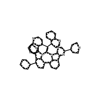 c1ccc(-c2ccc3c4cccc5c6nc(-c7ccncc7)cnc6n(c(=C(c6ccnc7ccccc67)c6ccnc7ccccc67)n6c7nccnc7c2c36)c45)cc1